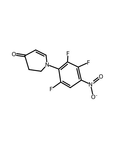 O=C1C=CN(c2c(F)cc([N+](=O)[O-])c(F)c2F)CC1